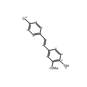 COc1cc(/C=C/c2ccc(Cl)cc2)ccc1O